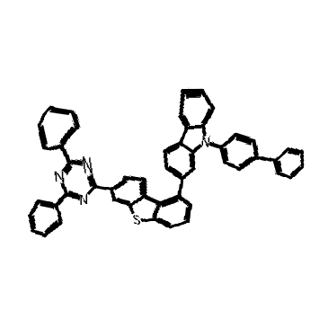 c1ccc(-c2ccc(-n3c4ccccc4c4ccc(-c5cccc6sc7cc(-c8nc(-c9ccccc9)nc(-c9ccccc9)n8)ccc7c56)cc43)cc2)cc1